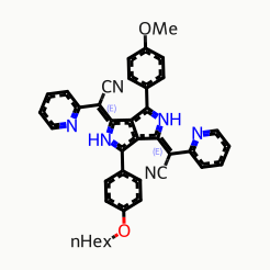 CCCCCCOc1ccc(-c2[nH]/c(=C(/C#N)c3ccccn3)c3c(-c4ccc(OC)cc4)[nH]/c(=C(/C#N)c4ccccn4)c23)cc1